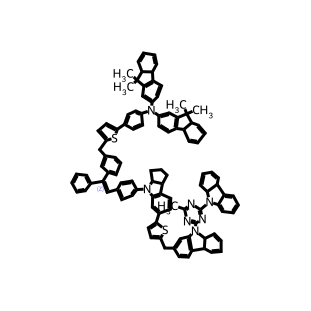 Cc1nc(N2c3ccccc3C3C=CC=CC32)nc(N2c3cc(Cc4ccc(-c5ccc6c(c5)N(c5ccc(/C=C(/c7ccccc7)c7cccc(Cc8ccc(-c9ccc(N(c%10ccc%11c(c%10)C(C)(C)C%10C=CC=CC%11%10)c%10ccc%11c(c%10)C(C)(C)C%10C=CC=CC%11%10)cc9)s8)c7)cc5)C5CCCC65)s4)ccc3C3C=CC=CC32)n1